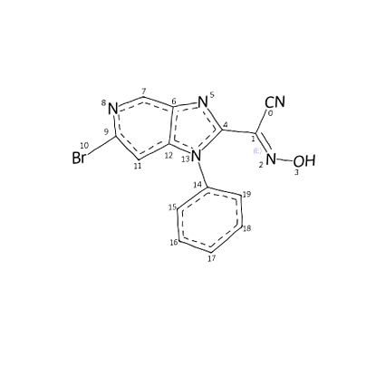 N#C/C(=N\O)c1nc2cnc(Br)cc2n1-c1ccccc1